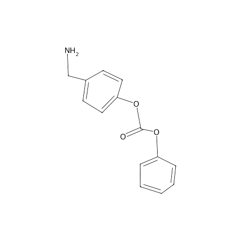 NCc1ccc(OC(=O)Oc2ccccc2)cc1